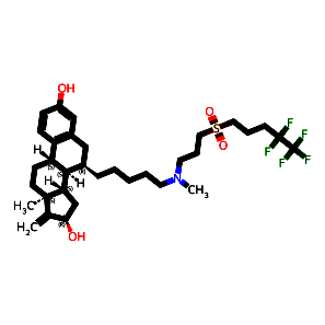 C=C1[C@H](O)C[C@H]2[C@@H]3[C@H](CCCCCN(C)CCCS(=O)(=O)CCCC(F)(F)C(F)(F)F)Cc4cc(O)ccc4[C@H]3CC[C@]12C